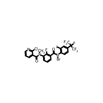 CN(C(=O)c1cccnc1Cl)c1cccc(C(=O)N(Br)c2ccc(C(F)(C(F)(F)F)C(F)(F)F)cc2I)c1F